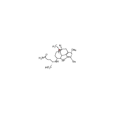 COc1cc(O)c2c3c1C[C@@H]1[C@@H]4CC[C@H](N[C@@H](CCC(N)=O)C(=O)O)[C@H](O2)[C@]34CCN1C